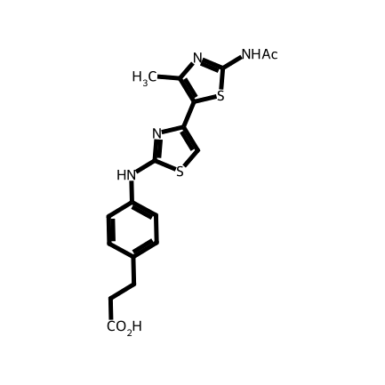 CC(=O)Nc1nc(C)c(-c2csc(Nc3ccc(CCC(=O)O)cc3)n2)s1